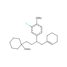 CCCCCCC1(CCC(CC2=CCCCC2)c2ccc(OC)c(F)c2)CCCCC1